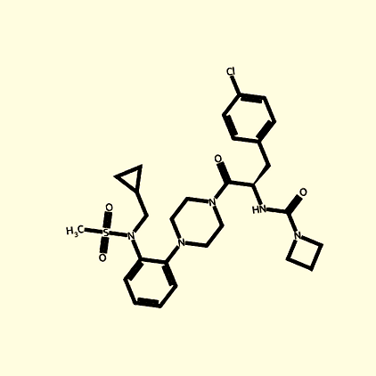 CS(=O)(=O)N(CC1CC1)c1ccccc1N1CCN(C(=O)[C@@H](Cc2ccc(Cl)cc2)NC(=O)N2C[CH]C2)CC1